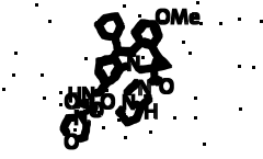 COc1ccc2c(c1)C1CC1(C(=O)N1CCN3CCC[C@@H]3C1)Cn1c-2c(C2CCCCC2)c2ccc(C(=O)NS(=O)(=O)N3CCOCC3)cc21